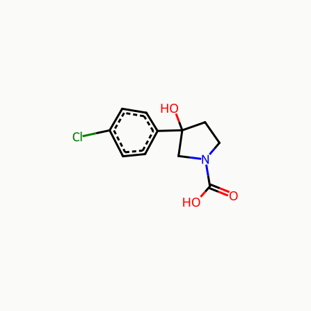 O=C(O)N1CCC(O)(c2ccc(Cl)cc2)C1